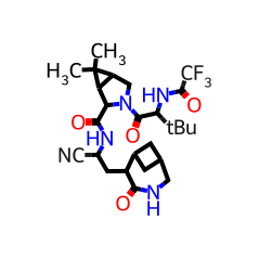 CC(C)(C)C(NC(=O)C(F)(F)F)C(=O)N1CC2C(C1C(=O)NC(C#N)CC1C(=O)NCC3CC1C3)C2(C)C